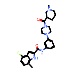 Cc1ccc(F)c2cc(C(=O)Nc3cccc(N4CCN(C(=O)C5CCCN(C)C5)CC4)c3)[nH]c12